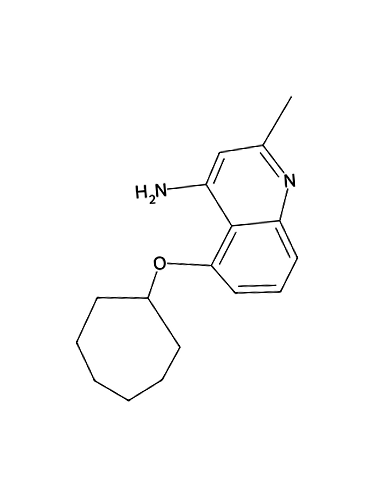 Cc1cc(N)c2c(OC3CCCCCC3)cccc2n1